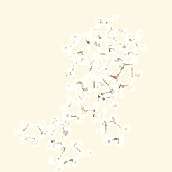 Cc1ccc2c(c1)c1cc(C)ccc1n2-c1ccc(-c2cc(-c3ccccc3)nc(-c3ccccc3)n2)cc1-c1nc(-c2ccccc2)cc(-c2cccc(-c3ccc4c5c3N(c3ccccc3)c3ccccc3B5c3ccccc3N4c3ccccc3)c2)n1